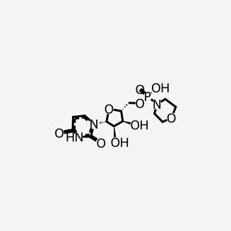 O=c1ccn([C@@H]2O[C@H](COP(=O)(O)N3CCOCC3)[C@@H](O)[C@H]2O)c(=O)[nH]1